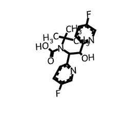 CC(C)(C)N(C(=O)O)C(c1ccc(F)cn1)C(O)c1ccc(F)cn1